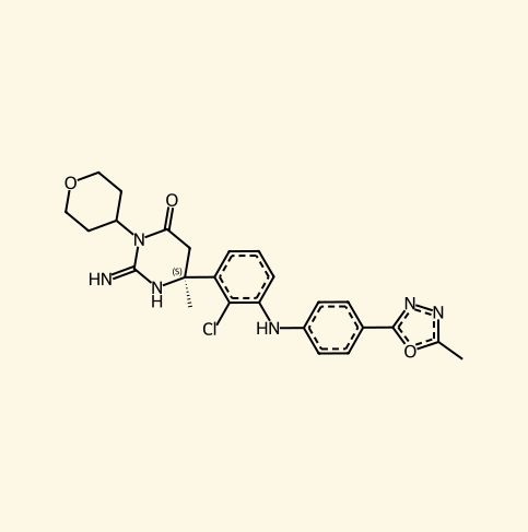 Cc1nnc(-c2ccc(Nc3cccc([C@]4(C)CC(=O)N(C5CCOCC5)C(=N)N4)c3Cl)cc2)o1